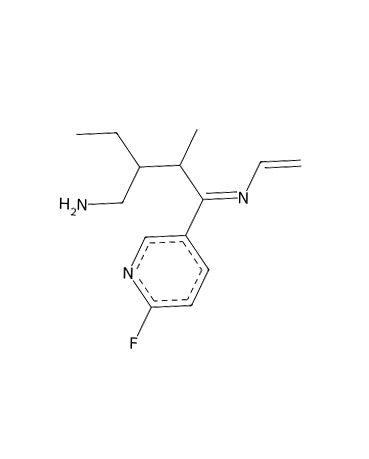 C=C/N=C(/c1ccc(F)nc1)C(C)C(CC)CN